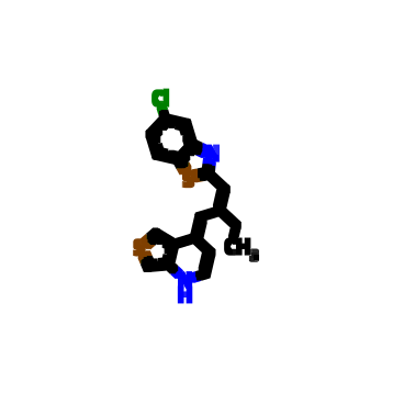 CCC(=Cc1nc2cc(Cl)ccc2s1)C=C1C=CNc2cscc21